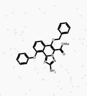 COC(=O)c1c(OCc2ccccc2)c2cccc(Oc3ccccc3)c2c2nc(N)nn12